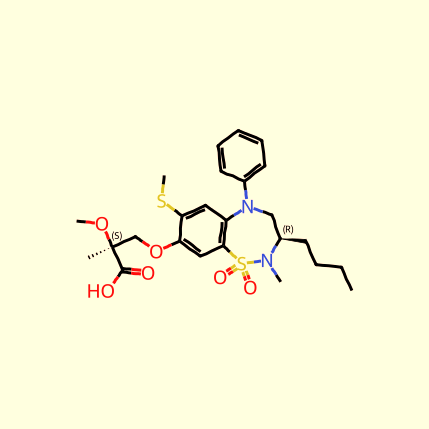 CCCC[C@@H]1CN(c2ccccc2)c2cc(SC)c(OC[C@](C)(OC)C(=O)O)cc2S(=O)(=O)N1C